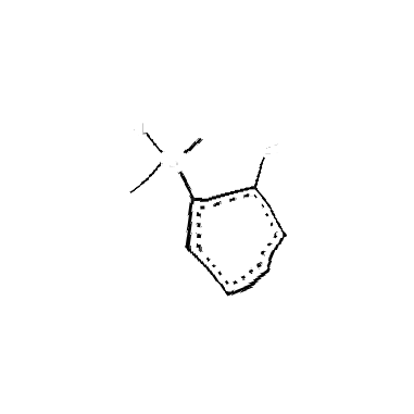 CCc1ccccc1[Si](C)(C)Cl